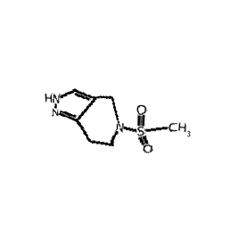 CS(=O)(=O)N1CCc2n[nH]cc2C1